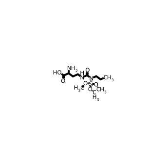 CCCN(C(=O)NCCC(N)C(=O)O)[Si](OC)(OC)OC